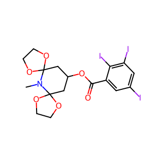 CN1C2(CC(OC(=O)c3cc(I)cc(I)c3I)CC13OCCO3)OCCO2